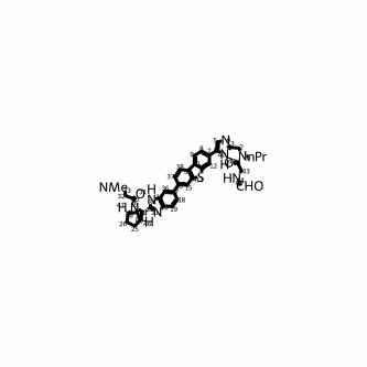 CCCN(Cc1ncc(-c2ccc3c(c2)sc2cc(-c4ccc5nc([C@@H]6[C@H]7CC[C@H](C7)N6C(=O)CNC)[nH]c5c4)ccc23)[nH]1)C(=O)CNC=O